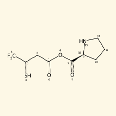 O=C(CC(S)C(F)(F)F)OC(=O)[C@@H]1CCCN1